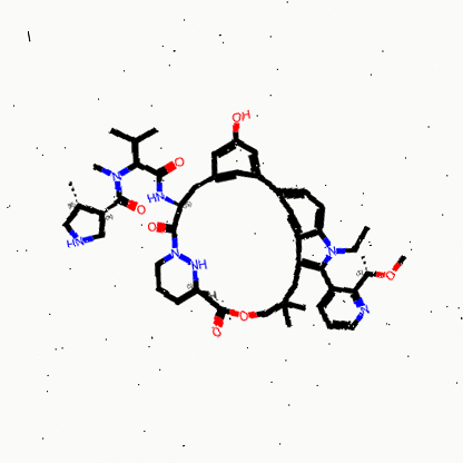 CCn1c(-c2cccnc2[C@H](C)OC)c2c3cc(ccc31)-c1cc(O)cc(c1)C[C@H](NC(=O)C(C(C)C)N(C)C(=O)[C@H]1CNC[C@@H]1C)C(=O)N1CCC[C@H](N1)C(=O)OCC(C)(C)C2